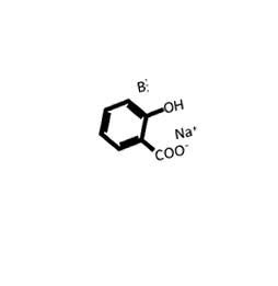 O=C([O-])c1ccccc1O.[B].[Na+]